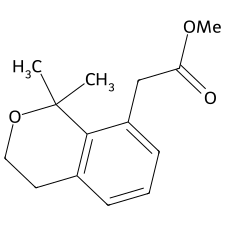 COC(=O)Cc1cccc2c1C(C)(C)OCC2